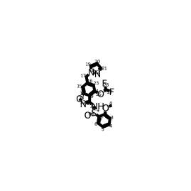 COc1ccccc1[S+]([O-])Nc1noc2cc(Cn3cccn3)cc(OC(F)F)c12